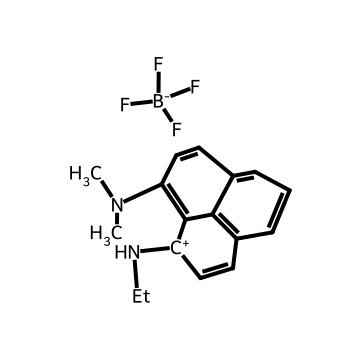 CCN[C+]1C=Cc2cccc3ccc(N(C)C)c1c23.F[B-](F)(F)F